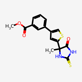 COC(=O)c1cccc(-c2csc(C3(C)NC(=S)NC3=O)c2)c1